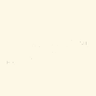 CCOC(=O)C1CCCC1(CCCN)c1ccccc1